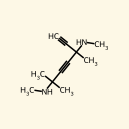 C#CC(C)(C#CC(C)(C)NC)NC